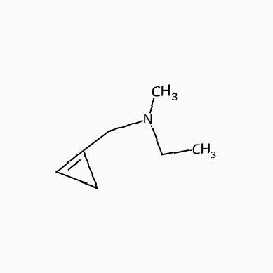 CCN(C)CC1=CC1